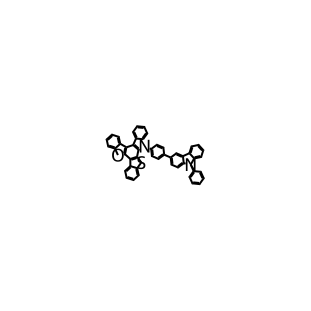 c1ccc(-n2c3ccccc3c3cc(-c4ccc(-n5c6ccccc6c6c7c8ccccc8oc7c7c8ccccc8sc7c65)cc4)ccc32)cc1